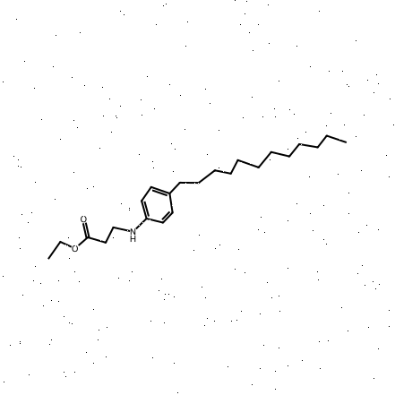 CCCCCCCCCCCCc1ccc(NCCC(=O)OCC)cc1